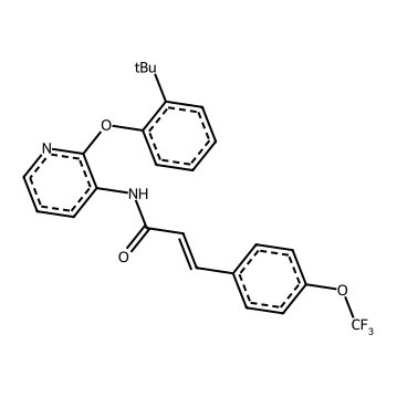 CC(C)(C)c1ccccc1Oc1ncccc1NC(=O)C=Cc1ccc(OC(F)(F)F)cc1